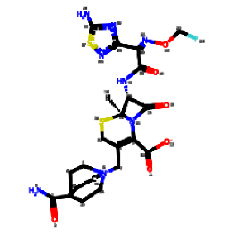 NC(=O)C12CC[N+](CC3=C(C(=O)[O-])N4C(=O)[C@@H](NC(=O)/C(=N\OCF)c5nsc(N)n5)[C@@H]4SC3)(CC1)CC2